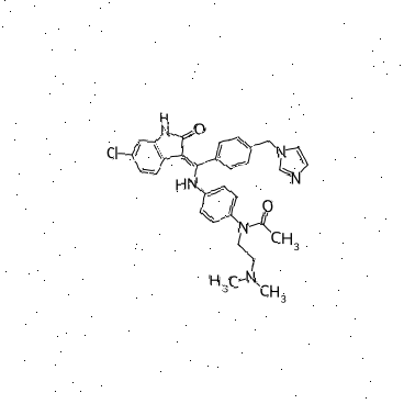 CC(=O)N(CCN(C)C)c1ccc(NC(=C2C(=O)Nc3cc(Cl)ccc32)c2ccc(Cn3ccnc3)cc2)cc1